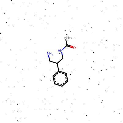 CCCCCCC(=O)NCC(CN)c1ccccc1